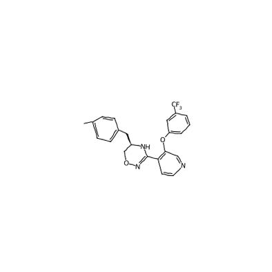 Cc1ccc(C[C@@H]2CON=C(c3ccncc3Oc3cccc(C(F)(F)F)c3)N2)cc1